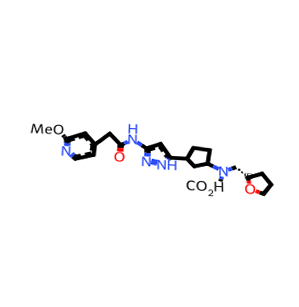 COc1cc(CC(=O)Nc2cc(C3CCC(N(C[C@@H]4CCCO4)C(=O)O)C3)[nH]n2)ccn1